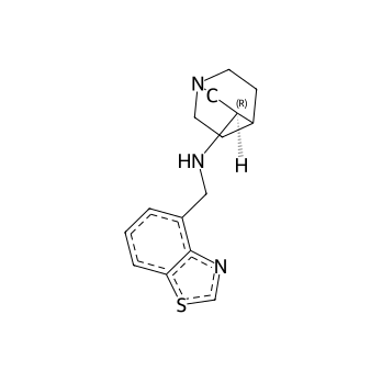 c1cc(CN[C@H]2CN3CCC2CC3)c2ncsc2c1